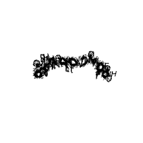 CCc1cc(Nc2ncc(Br)c(Nc3cnc4ccccc4c3P(C)(C)=O)n2)c(OC)cc1N1CCC(N2CCN(C(=O)C3CN(c4cc(F)c(C5CCC(=O)NC5=O)c(F)c4)C3)CC2)CC1